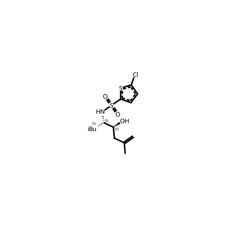 C=C(C)C[C@H](O)[C@@H](NS(=O)(=O)c1ccc(Cl)s1)[C@@H](C)CC